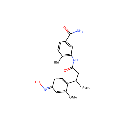 CCCCCC(CC(=O)Nc1cc(C(N)=O)ccc1C(C)(C)C)C1=CCC(=NO)C=C1OC